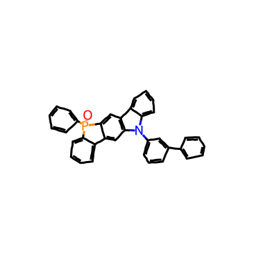 O=P1(c2ccccc2)c2ccccc2-c2cc3c(cc21)c1ccccc1n3-c1cccc(-c2ccccc2)c1